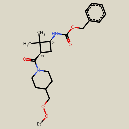 CCOOCC1CCN(C(=O)[C@@H]2C[C@H](NC(=O)OCc3ccccc3)C2(C)C)CC1